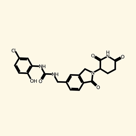 O=C1CCC(N2Cc3cc(CNC(=O)Nc4cc(Cl)ccc4O)ccc3C2=O)C(=O)N1